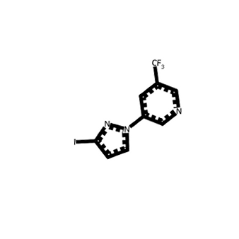 FC(F)(F)c1cncc(-n2ccc(I)n2)c1